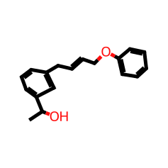 CC(O)c1cccc(CC=CCOc2ccccc2)c1